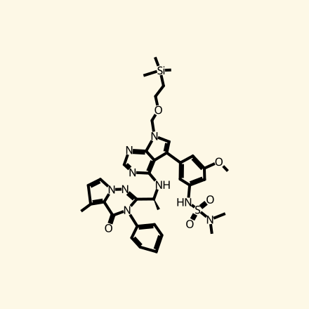 COc1cc(NS(=O)(=O)N(C)C)cc(-c2cn(COCC[Si](C)(C)C)c3ncnc(N[C@@H](C)c4nn5ccc(C)c5c(=O)n4-c4ccccc4)c23)c1